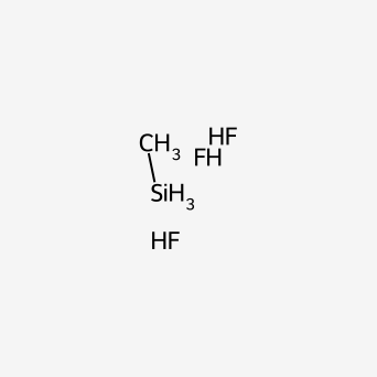 C[SiH3].F.F.F